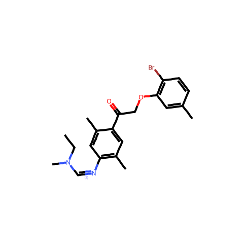 CCN(C)/C=N\c1cc(C)c(C(=O)COc2cc(C)ccc2Br)cc1C